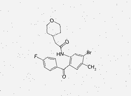 Cc1cc(C(=O)c2ccc(F)cc2)c(NC(=O)CC2CCOCC2)cc1Br